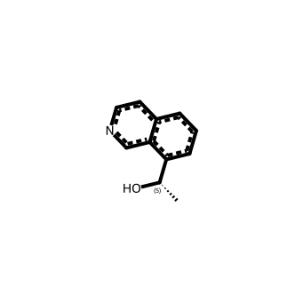 C[C@H](O)c1cccc2ccncc12